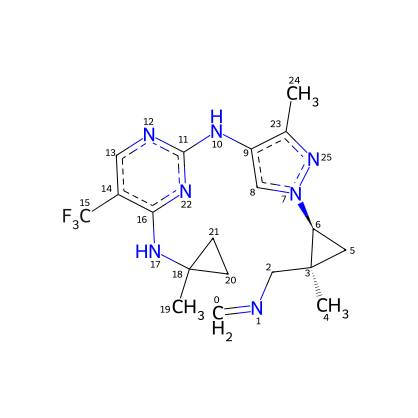 C=NC[C@]1(C)C[C@@H]1n1cc(Nc2ncc(C(F)(F)F)c(NC3(C)CC3)n2)c(C)n1